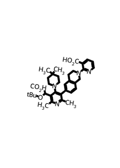 Cc1nc(C)c(C(OC(C)(C)C)C(=O)O)c(N2CCC(C)(C)CC2)c1-c1ccc2c(c1)CCN(c1ncccc1C(=O)O)C2